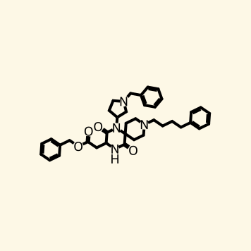 O=C(CC1NC(=O)C2(CCN(CCCCc3ccccc3)CC2)N(C2CCN(Cc3ccccc3)C2)C1=O)OCc1ccccc1